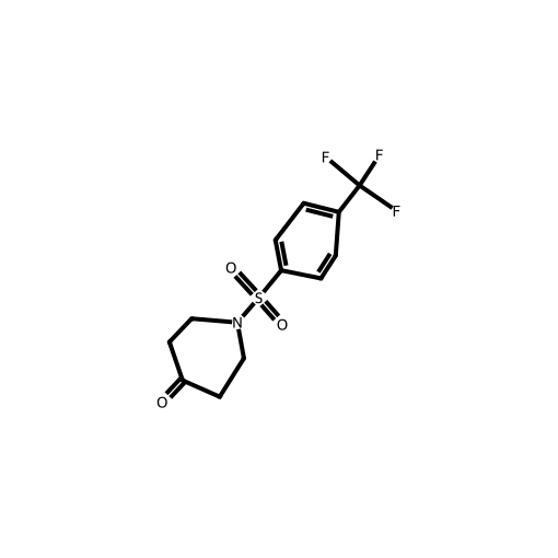 O=C1CCN(S(=O)(=O)c2ccc(C(F)(F)F)cc2)CC1